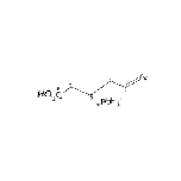 C=CCCCC(=O)O.[PbH2]